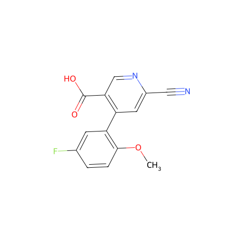 COc1ccc(F)cc1-c1cc(C#N)ncc1C(=O)O